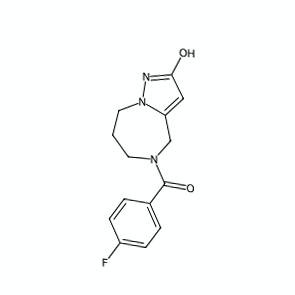 O=C(c1ccc(F)cc1)N1CCCn2nc(O)cc2C1